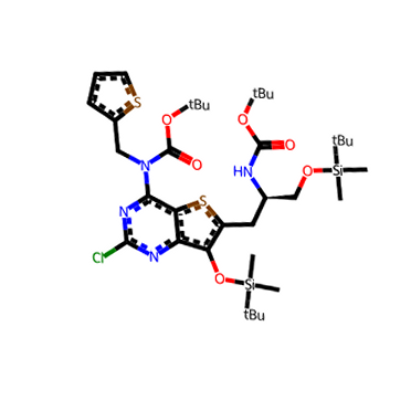 CC(C)(C)OC(=O)N[C@@H](CO[Si](C)(C)C(C)(C)C)Cc1sc2c(N(Cc3cccs3)C(=O)OC(C)(C)C)nc(Cl)nc2c1O[Si](C)(C)C(C)(C)C